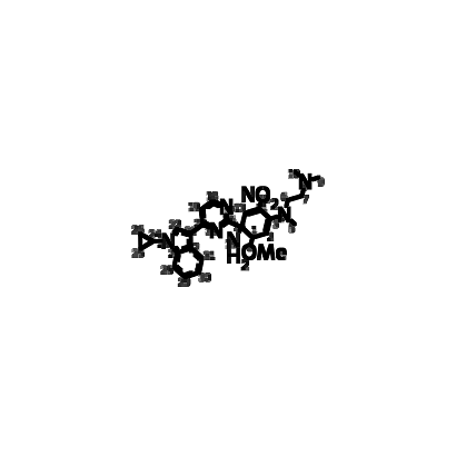 COC1C=C(N(C)CCN(C)C)C([N+](=O)[O-])=CC1(N)c1nccc(-c2cn(C3CC3)c3ccccc23)n1